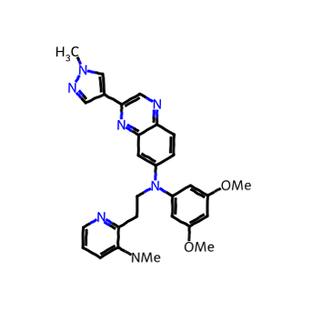 CNc1cccnc1CCN(c1cc(OC)cc(OC)c1)c1ccc2ncc(-c3cnn(C)c3)nc2c1